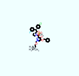 C[Si](C)(C)CCOCn1cc(OCc2ccccc2)c(=O)c(C(=O)N2CCC[C@@H]2[C@H](OS(C)(=O)=O)[C@@H](c2ccc(Cl)cc2)c2cccc(F)c2)n1